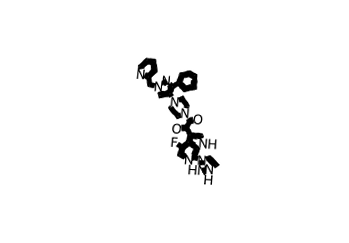 O=C(C(=O)N1CCN(c2cn(Cc3ccccn3)nc2-c2ccccc2)CC1)c1c[nH]c2c(N3C=CNN3)ncc(F)c12